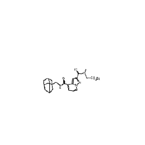 CCOC(=O)CN(C)C(=O)c1cc2c(C(=O)NCC34CC5CC(CC(C5)C3)C4)cccn2n1